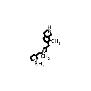 C=C(CC1CCCN(C)C1)N1CC(Cc2ccc3c(c2C)CBCC3)C1